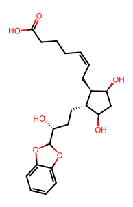 O=C(O)CCC/C=C\C[C@@H]1[C@@H](CC[C@@H](O)C2Oc3ccccc3O2)[C@H](O)C[C@@H]1O